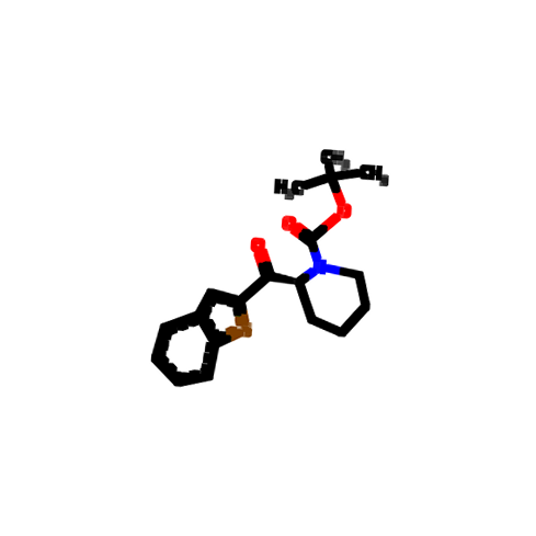 CC(C)(C)OC(=O)N1CCCC[C@H]1C(=O)c1cc2ccccc2s1